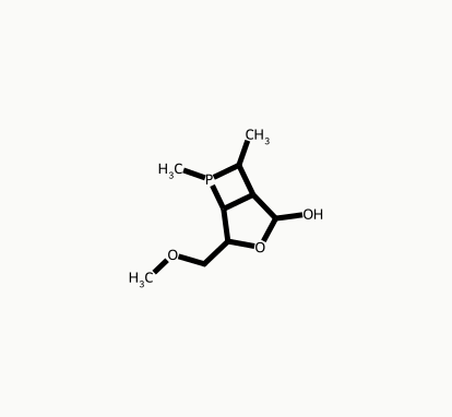 COCC1OC(O)C2C(C)P(C)C12